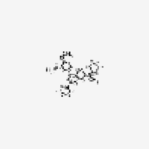 COc1ccc(C(=CC(=O)N2CCOCC2)c2ccc(N(C)c3ccccc3)nc2)cc1OC